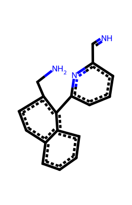 N=Cc1cccc(-c2c(CN)ccc3ccccc23)n1